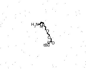 CC(C)(C)OC(=O)COCCOCCn1ccc(N)n1